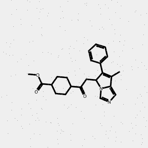 COC(=O)C1CCC(C(=O)CC2C(c3ccccc3)=C(C)c3cncn32)CC1